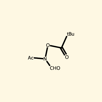 CC(=O)N(C=O)OC(=O)C(C)(C)C